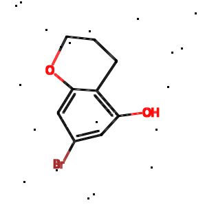 Oc1cc(Br)cc2c1CCCO2